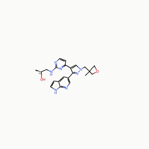 C[C@H](O)CNc1nccc(-c2cn(CC3(C)COC3)nc2-c2cnc3[nH]ccc3c2)n1